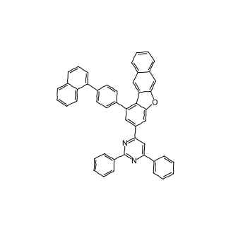 c1ccc(-c2cc(-c3cc(-c4ccc(-c5cccc6ccccc56)cc4)c4c(c3)oc3cc5ccccc5cc34)nc(-c3ccccc3)n2)cc1